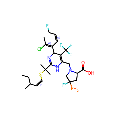 CCC(C)/C=C\SC(C)(C)C1=NC(C(/C=C\CF)=C(/C)Cl)C(C(F)(F)F)=C(CN2CC(F)(P)CC2C(=O)O)N1